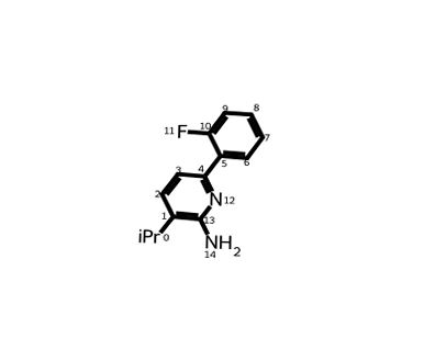 CC(C)c1ccc(-c2ccccc2F)nc1N